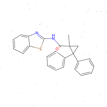 CC1(C(=O)Nc2nc3ccccc3s2)CC1(c1ccccc1)c1ccccc1